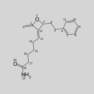 C=C1OC(CCc2ccccc2)C1=CCCCCC(N)=O